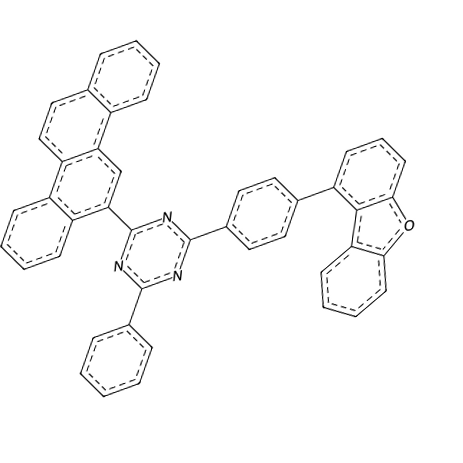 c1ccc(-c2nc(-c3ccc(-c4cccc5oc6ccccc6c45)cc3)nc(-c3cc4c5ccccc5ccc4c4ccccc34)n2)cc1